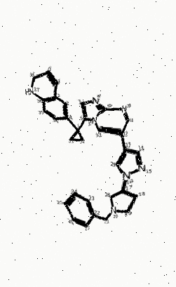 C1=Cc2cc(C3(c4cnc5ncc(-c6cnn(C7CCN(Cc8ccccc8)C7)c6)cn45)CC3)ccc2NC1